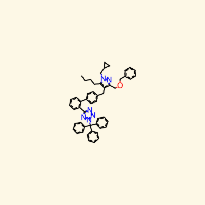 CCCCc1c(Cc2ccc(-c3ccccc3-c3nnn(C(c4ccccc4)(c4ccccc4)c4ccccc4)n3)cc2)c(COCc2ccccc2)nn1CC1CC1